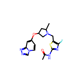 CC(=O)Nc1nc(F)c(CN2CC(Oc3ccn4cnnc4c3)CC2C)s1